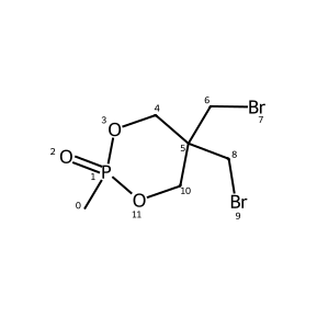 CP1(=O)OCC(CBr)(CBr)CO1